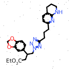 CCOC(=O)CC(Cn1nnc(CCCc2ccc3c(n2)NCCC3)n1)c1ccc2c(c1)OCO2